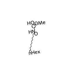 CCCCCC/C=C/CCCCCCCCCC(=O)NCc1ccc(O)c(OC)c1